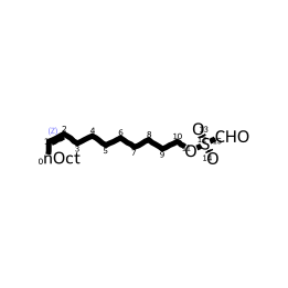 CCCCCCCC/C=C\CCCCCCCCOS(=O)(=O)C=O